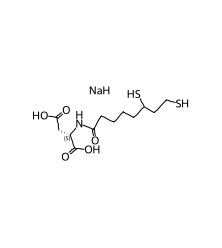 O=C(O)C[C@H](NC(=O)CCCCC(S)CCS)C(=O)O.[NaH]